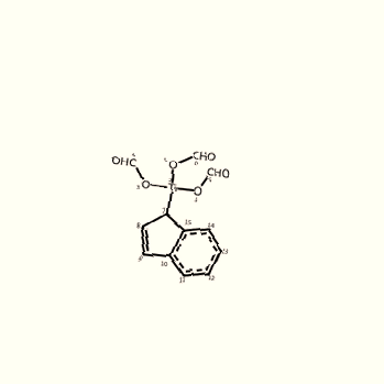 O=C[O][Ti]([O]C=O)([O]C=O)[CH]1C=Cc2ccccc21